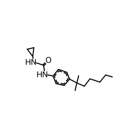 CCCCCC(C)(C)c1ccc(NC(=O)NC2CC2)cc1